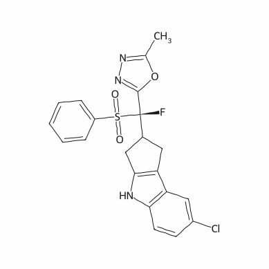 Cc1nnc([C@](F)(C2Cc3[nH]c4ccc(Cl)cc4c3C2)S(=O)(=O)c2ccccc2)o1